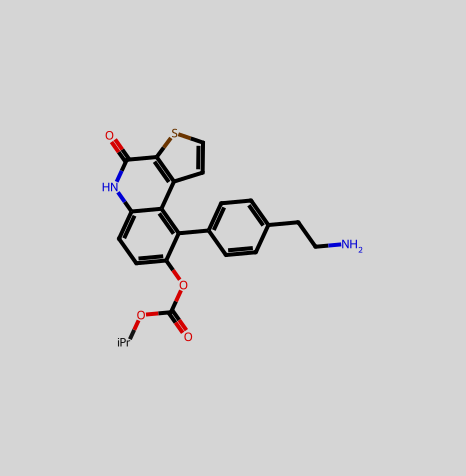 CC(C)OC(=O)Oc1ccc2[nH]c(=O)c3sccc3c2c1-c1ccc(CCN)cc1